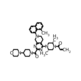 C=CC(=O)N1C[C@H](C)N(c2nc(C(=O)N3CCC(N4CCOCC4)CC3)nc3c2CCN(c2cccc4cccc(C)c24)C3)C[C@H]1C